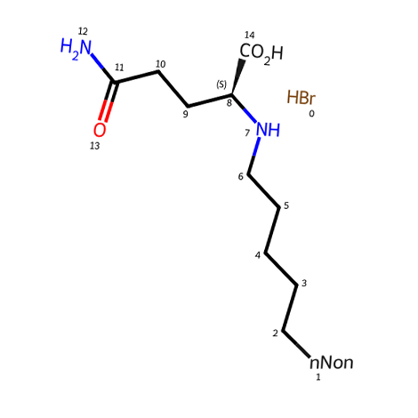 Br.CCCCCCCCCCCCCCN[C@@H](CCC(N)=O)C(=O)O